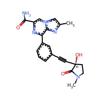 Cc1cn2cc(C(N)=O)nc(-c3cccc(C#C[C@]4(O)CCN(C)C4=O)c3)c2n1